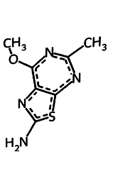 COc1nc(C)nc2sc(N)nc12